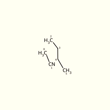 CC#N.CCCC